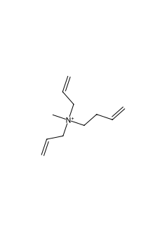 C=CCC[N+](C)(CC=C)CC=C